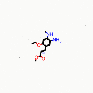 CCOc1cc(NC)c(N)cc1/C=C/C(=O)OC